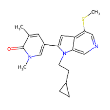 CSc1cncc2c1cc(-c1cc(C)c(=O)n(C)c1)n2CCC1CC1